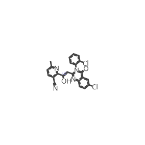 Cc1ccc(C#N)c(/C(O)=C/c2nc3ccc(Cl)cc3c(=O)n2-c2ccccc2Cl)n1